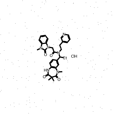 CCC(c1ccc2c(c1)N(C)C(=O)C(C)(C)C(=O)N2)N(CCc1cccnc1)C(=O)Cn1c(=O)n(C)c2ccccc21.Cl